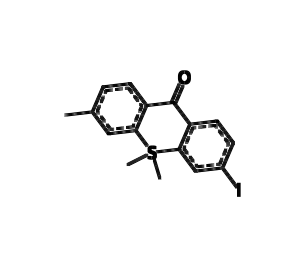 Cc1ccc2c(c1)S(C)(C)c1cc(I)ccc1C2=O